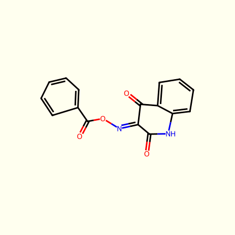 O=C1Nc2ccccc2C(=O)C1=NOC(=O)c1ccccc1